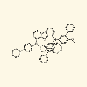 COc1ccc(N(c2ccc(-c3ccccc3)cc2)c2cccc3c2oc2c(N(C4=CCC(C5=CC=CCC#C5)=C4)c4ccc(-c5ccccc5)cc4)cccc23)cc1-c1ccccc1